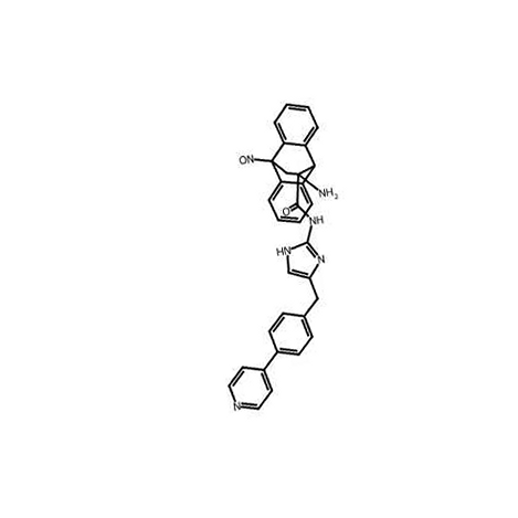 NC1(C(=O)Nc2nc(Cc3ccc(-c4ccncc4)cc3)c[nH]2)CC2(N=O)c3ccccc3C1c1ccccc12